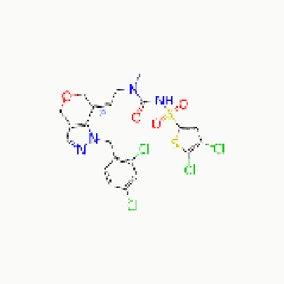 CN(C/C=C1\COCc2cnn(Cc3ccc(Cl)cc3Cl)c21)C(=O)NS(=O)(=O)c1cc(Cl)c(Cl)s1